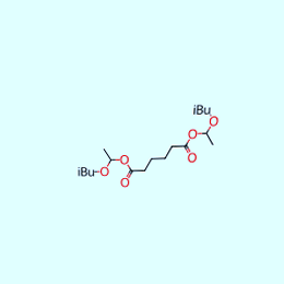 CCC(C)OC(C)OC(=O)CCCCC(=O)OC(C)OC(C)CC